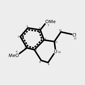 COc1ccc(OC)c2c1CCOC2CCl